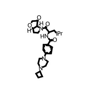 CC(C)CC(NC(=O)c1ccc(N2CCN(C3CCC3)CC2)cc1)C(=O)N1CC[C@H]2OCC(=O)[C@H]21